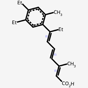 CC\C(=C/C=C/C(C)=C/C(=O)O)c1cc(CC)c(CC)cc1C